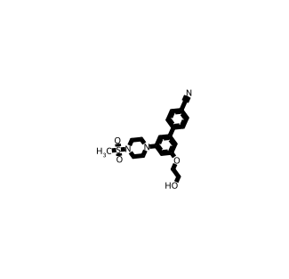 CS(=O)(=O)N1CCN(c2cc(OCCO)cc(-c3ccc(C#N)cc3)c2)CC1